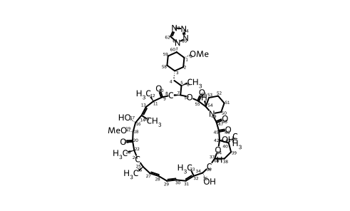 CO[C@@H]1C[C@H](C[C@@H](C)[C@@H]2CC(=O)[C@H](C)/C=C(\C)[C@@H](O)[C@@H](OC)C(=O)[C@H](C)C[C@H](C)/C=C/C=C/C=C(\C)[C@@H](O)C[C@@H]3CC[C@@H](C)[C@@](O)(O3)C(=O)C(=O)N3CCCC[C@H]3C(=O)O2)CC[C@@H]1n1cnnn1